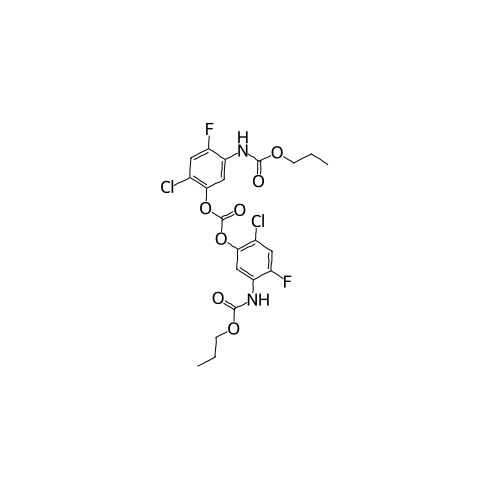 CCCOC(=O)Nc1cc(OC(=O)Oc2cc(NC(=O)OCCC)c(F)cc2Cl)c(Cl)cc1F